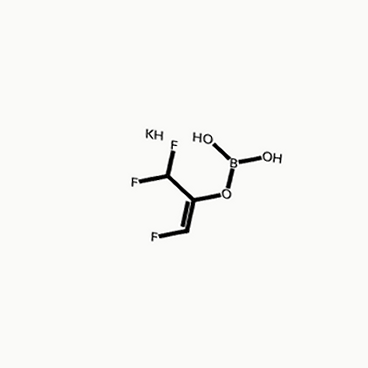 OB(O)OC(=CF)C(F)F.[KH]